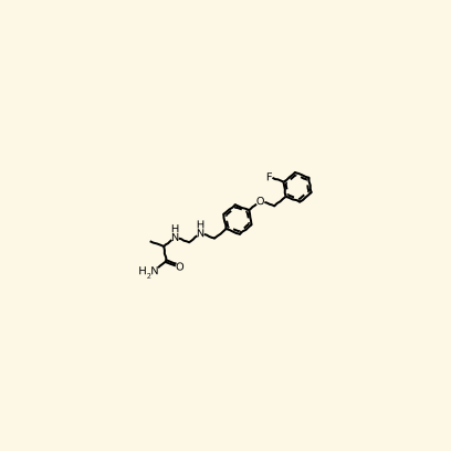 CC(NCNCc1ccc(OCc2ccccc2F)cc1)C(N)=O